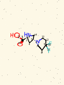 O=C(O)[C@@H]1C[C@@H](N2CCC(F)(F)CC2)CN1